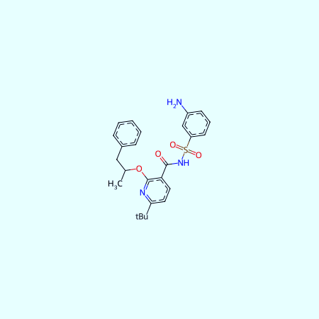 CC(Cc1ccccc1)Oc1nc(C(C)(C)C)ccc1C(=O)NS(=O)(=O)c1cccc(N)c1